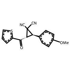 COc1ccc([C@H]2[C@H](C(=O)c3cccs3)C2(C#N)C#N)cc1